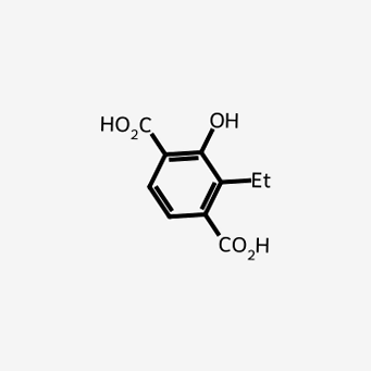 CCc1c(C(=O)O)ccc(C(=O)O)c1O